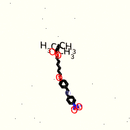 CCC(C)(C)C(=O)OCCCCCCOc1ccc(/C=C/c2ccc([N+](=O)[O-])cc2)cc1